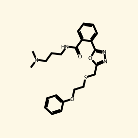 CN(C)CCCNC(=O)c1ccccc1-c1nnc(CSCCOc2ccccc2)o1